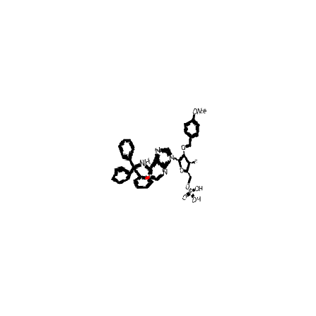 COc1ccc(CO[C@@H]2[C@@H](F)[C@@H](COP(=O)(O)O)O[C@H]2n2cnc3c(NC(c4ccccc4)(c4ccccc4)c4ccccc4)ncnc32)cc1